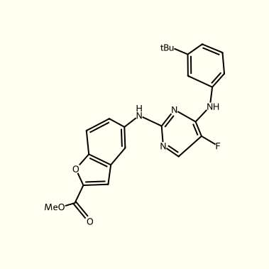 COC(=O)c1cc2cc(Nc3ncc(F)c(Nc4cccc(C(C)(C)C)c4)n3)ccc2o1